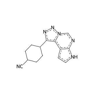 N#CC1CCC(c2nnn3cnc4[nH]ccc4c23)CC1